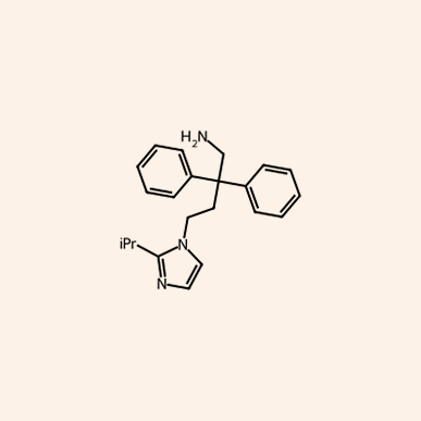 CC(C)c1nccn1CCC(CN)(c1ccccc1)c1ccccc1